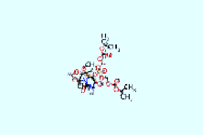 CO[C@](P)(COP(=O)(OCOC(=O)OC(C)C)OCOC(=O)OC(C)C)[C@H]1OCO[C@@]1(C)n1ccc(=O)n(I)c1=O